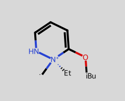 [CH2][N@@+]1(CC)NC=CC=C1OC(C)CC